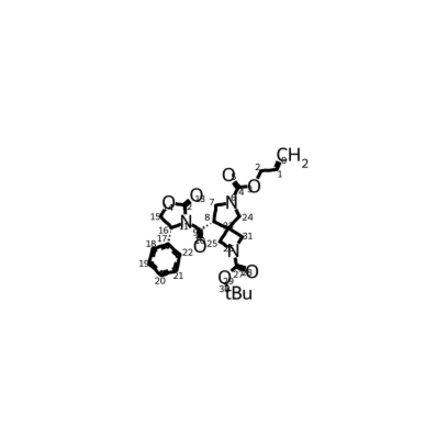 C=CCOC(=O)N1C[C@@H](C(=O)N2C(=O)OC[C@H]2c2ccccc2)C2(C1)CN(C(=O)OC(C)(C)C)C2